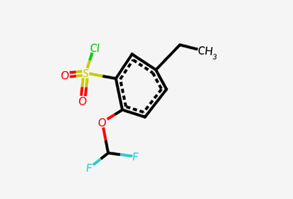 CCc1ccc(OC(F)F)c(S(=O)(=O)Cl)c1